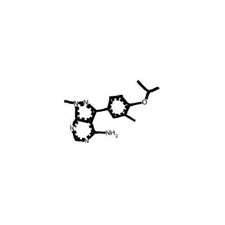 Cc1cc(-c2nn(C)c3ncnc(N)c23)ccc1OC(C)C